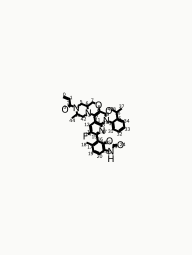 C=CC(=O)N1CC2COc3c(c4cc(F)c(-c5c(C)ccc6[nH]c(=O)oc56)nc4n(-c4ccccc4C(C)C)c3=O)N2CC1C